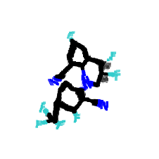 N#Cc1cc(F)cc2c1N(c1ccc(C(F)(F)F)c(F)c1C#N)C[C@H](F)[C@H]2F